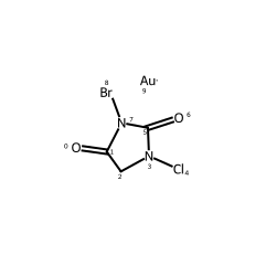 O=C1CN(Cl)C(=O)N1Br.[Au]